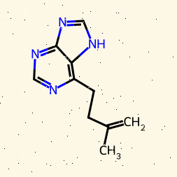 C=C(C)CCc1ncnc2nc[nH]c12